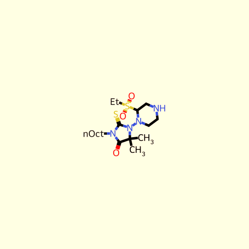 CCCCCCCCN1C(=O)C(C)(C)N(N2CCNCC2S(=O)(=O)CC)C1=S